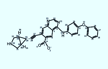 O=[N+]([O-])c1cc2c(Nc3ccc(Oc4ccccc4)cc3)ncnc2cc1C#C[C@@H]1[C@H]2CNC[C@@H]12